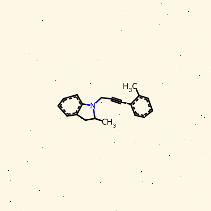 Cc1ccccc1C#CCN1c2ccccc2CC1C